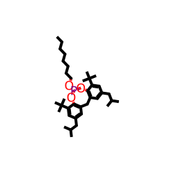 CCCCCCCCOP1Oc2c(cc(CC(C)C)cc2C(C)(C)C)Cc2cc(CC(C)C)cc(C(C)(C)C)c2O1